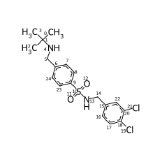 CC(C)(C)NCc1ccc(S(=O)(=O)NCc2ccc(Cl)c(Cl)c2)cc1